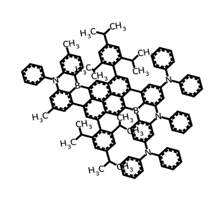 Cc1ccc2c(c1)N(c1ccccc1)c1cc(C)cc3c1B2c1cc2c(-c4c(C(C)C)cc(C(C)C)cc4C(C)C)cc4c5c(cc6c(-c7c(C(C)C)cc(C(C)C)cc7C(C)C)cc-3c1c6c25)B1c2ccc(N(c3ccccc3)c3ccccc3)cc2N(c2ccccc2)c2cc(N(c3ccccc3)c3ccccc3)cc-4c21